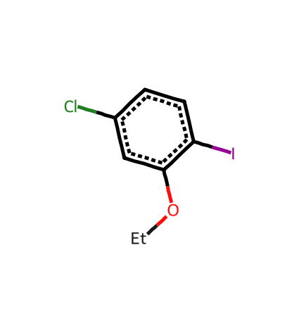 CCOc1cc(Cl)ccc1I